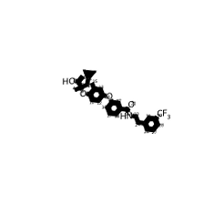 C=C(O)C(C)(CC1CC1)Oc1ccc(Oc2cccc(C(=O)NCCc3cccc(C(F)(F)F)c3)c2)cc1C